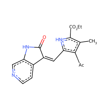 CCOC(=O)c1[nH]c(C=C2C(=O)Nc3cnccc32)c(C(C)=O)c1C